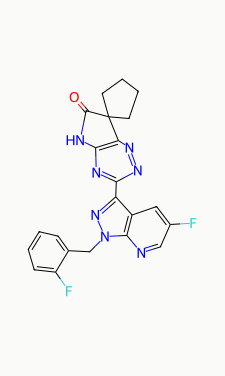 O=C1Nc2nc(-c3nn(Cc4ccccc4F)c4ncc(F)cc34)nnc2C12CCCC2